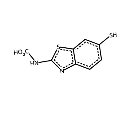 O=C(O)Nc1nc2ccc(S)cc2s1